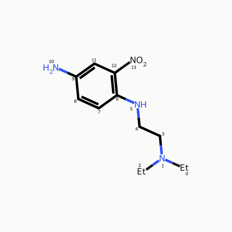 CCN(CC)CCNc1ccc(N)cc1[N+](=O)[O-]